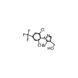 OCc1cnn(-c2c(Cl)cc(C(F)(F)F)cc2Cl)c1Br